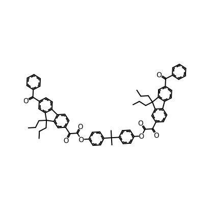 CCCC1(CCC)c2cc(C(=O)C(=O)Oc3ccc(C(C)(C)c4ccc(OC(=O)C(=O)c5ccc6c(c5)C(CCC)(CCC)c5cc(C(=O)c7ccccc7)ccc5-6)cc4)cc3)ccc2-c2ccc(C(=O)c3ccccc3)cc21